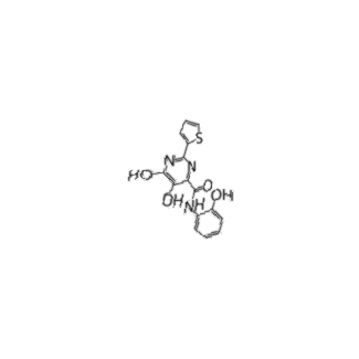 O=C(Nc1ccccc1O)c1nc(-c2cccs2)nc(O)c1O